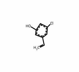 C=Cc1cc(O)cc(Cl)c1